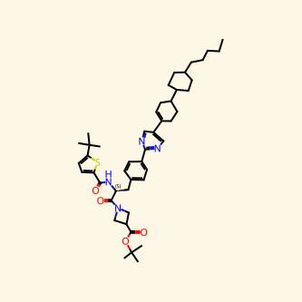 CCCCCC1CCC(C2CC=C(c3cnc(-c4ccc(C[C@H](NC(=O)c5ccc(C(C)(C)C)s5)C(=O)N5CC(C(=O)OC(C)(C)C)C5)cc4)nc3)CC2)CC1